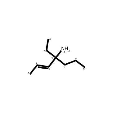 CC=CC(N)(CC)CCC